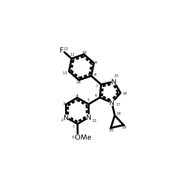 COc1nccc(-c2c(-c3ccc(F)cc3)ncn2C2CC2)n1